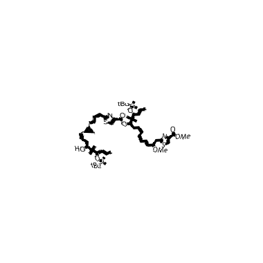 C/C=C/C(O[Si](C)(C)C(C)(C)C)C(C)(C)C(O)C/C=C\[C@H]1C[C@H]1/C=C/C=C\c1nc(C(=O)OC(C\C=C/C=C\C=C\C(Cc2nc(C(=O)OC)cs2)OC)C(C)(C)C(/C=C/C)O[Si](C)(C)C(C)(C)C)cs1